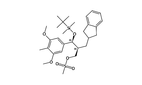 COc1cc([C@@H](O[Si](C)(C)C(C)(C)C)[C@H](COS(C)(=O)=O)CC2Cc3ccccc3C2)cc(OC)c1C